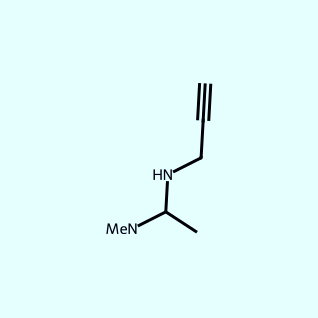 C#CCNC(C)NC